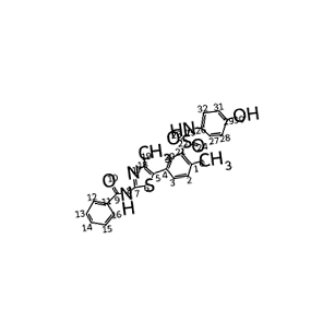 Cc1ccc(-c2sc(NC(=O)c3ccccc3)nc2C)cc1S(=O)(=O)Nc1ccc(O)cc1